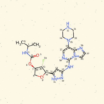 CC(C)NC(=O)O[C@@H]1CO[C@H](c2cc(Nc3ncc(N4CCNCC4)c4nccn34)n[nH]2)[C@H]1F